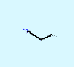 CCCCCCCC/C=C\CCCCCCCC(N)I